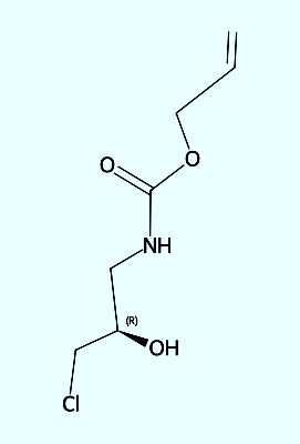 C=CCOC(=O)NC[C@@H](O)CCl